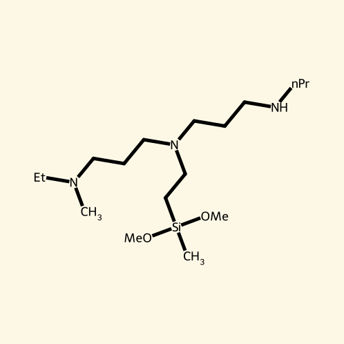 CCCNCCCN(CCCN(C)CC)CC[Si](C)(OC)OC